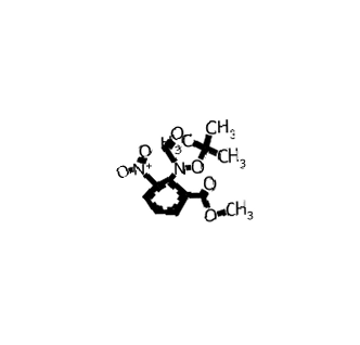 COC(=O)c1cccc([N+](=O)[O-])c1N(C=O)OC(C)(C)C